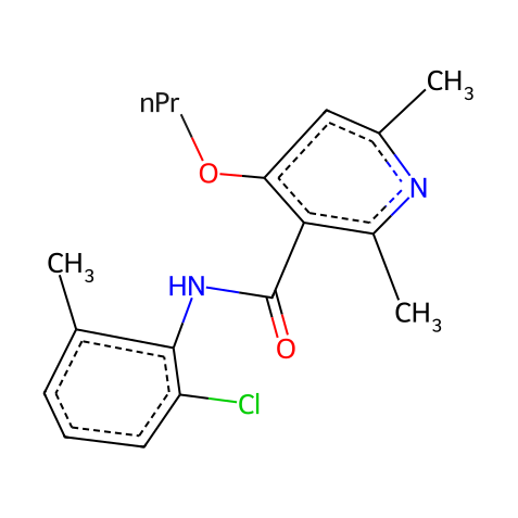 CCCOc1cc(C)nc(C)c1C(=O)Nc1c(C)cccc1Cl